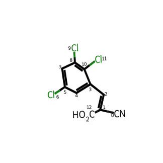 N#CC(=Cc1cc(Cl)cc(Cl)c1Cl)C(=O)O